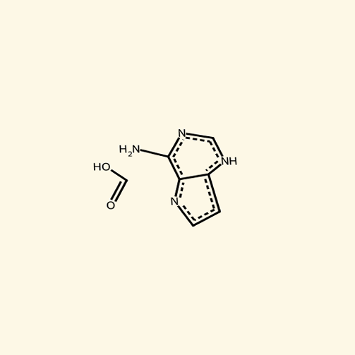 Nc1nc[nH]c2ccnc1-2.O=CO